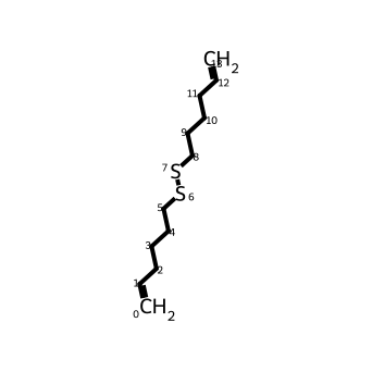 C=CCCCCSSCCCCC=C